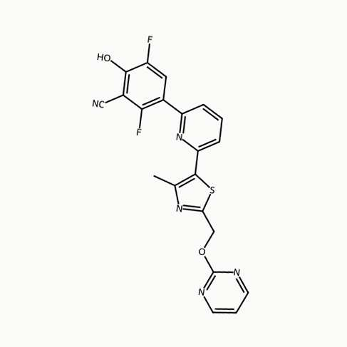 Cc1nc(COc2ncccn2)sc1-c1cccc(-c2cc(F)c(O)c(C#N)c2F)n1